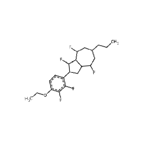 CCCC1CC(F)C2CC(c3ccc(OCC)c(F)c3F)C(F)C2C(F)C1